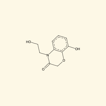 O=C1COc2c(O)cccc2N1CCO